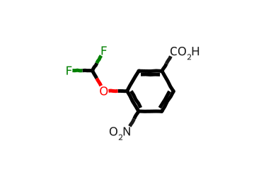 O=C(O)c1ccc([N+](=O)[O-])c(OC(F)F)c1